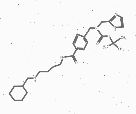 CC(C)(C)OC(=O)N(Cc1ccc(C(=O)NCCCCNCC2CCCCC2)cc1)Cc1ncc[nH]1